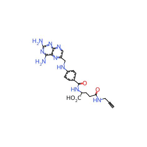 C#CCNC(=O)CCC(NC(=O)c1ccc(NCc2cnc3nc(N)nc(N)c3n2)cc1)C(=O)O